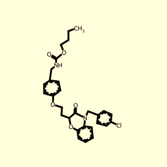 CCCCOC(=O)NCc1ccc(OCCC2Oc3ccccc3N(Cc3ccc(Cl)cc3)C2=O)cc1